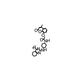 Cc1cc(=O)oc2c(OCC(=O)N[C@H]3CC[C@@H](Nc4nc5c(c(N(C)C)n4)CCCC5)CC3)cccc12